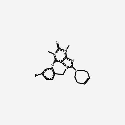 Cn1c(=O)c2c(nc(N3CCC=CCC3)n2Cc2ccc(F)cc2)n(C)c1=O